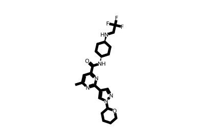 Cc1cc(C(=O)N[C@H]2CC[C@H](NCC(F)(F)F)CC2)nc(-c2cnn(C3CCCCO3)c2)n1